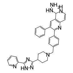 NNC1NC=Cc2nc(-c3ccc(CN4CCC(c5n[nH]c(-c6ccccn6)n5)CC4)cc3)c(-c3ccccc3)cc21